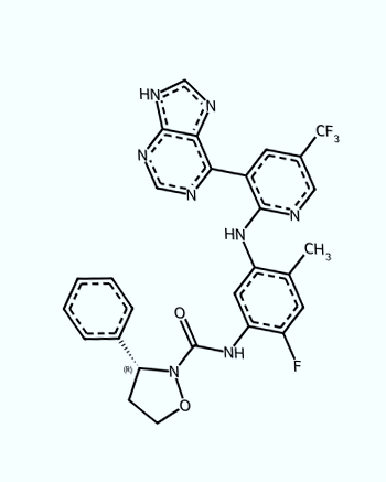 Cc1cc(F)c(NC(=O)N2OCC[C@@H]2c2ccccc2)cc1Nc1ncc(C(F)(F)F)cc1-c1ncnc2[nH]cnc12